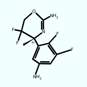 C[C@]1(c2cc(N)cc(F)c2F)N=C(N)OCC1(F)F